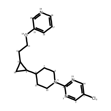 Clc1cnc(N2CCC(C3CC3CCOc3cccnc3)CC2)nc1